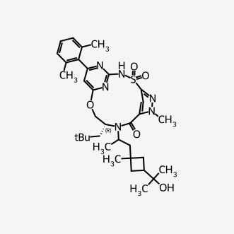 Cc1cccc(C)c1-c1cc2nc(n1)NS(=O)(=O)c1cc(n(C)n1)C(=O)N(C(C)CC1(C)CC(C(C)(C)O)C1)[C@H](CC(C)(C)C)CO2